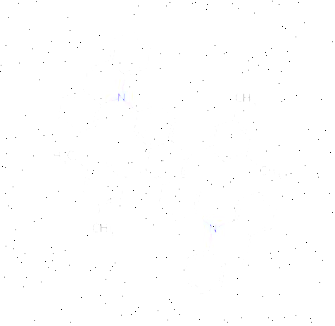 Cc1cc(C)cc(-c2c3ccc(N4c5ccccc5Cc5ccccc54)cc3c(-c3cc(C)cc(C)c3)c3ccc(N4c5ccccc5Cc5ccccc54)cc23)c1